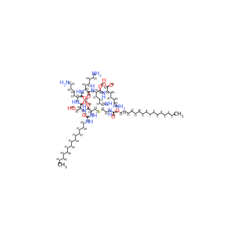 CCCCCCCCCCCCCCCCOC(=O)NCCSCC(NC(=O)NCCCCCCCCCCCCCC)C(=O)NC(CO)C(=O)NC(CCCCN)C(=O)NC(CCCCN)C(=O)NC(CCCCN)C(=O)NC(CCCCN)C(=O)O